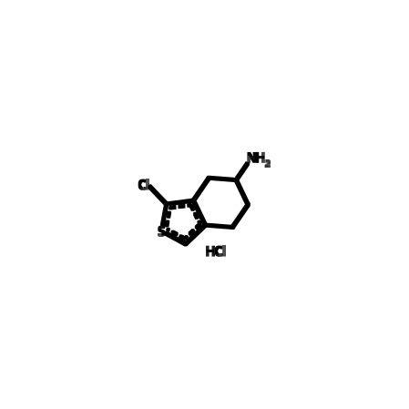 Cl.NC1CCc2csc(Cl)c2C1